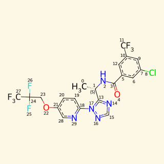 C[C@H](NC(=O)c1cc(Cl)cc(C(F)(F)F)c1)c1ncnn1-c1ccc(OCC(F)(F)C(F)(F)F)cn1